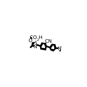 Cc1nc(-c2ccc(-c3ccc(N(C)C)cc3)c(C#N)c2)sc1OC(=O)O